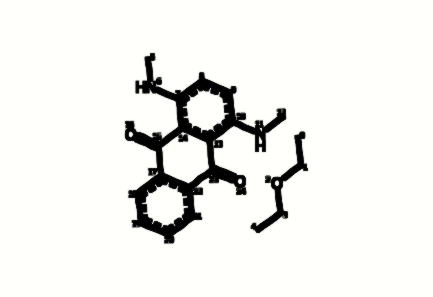 CCOCC.CNc1ccc(NC)c2c1C(=O)c1ccccc1C2=O